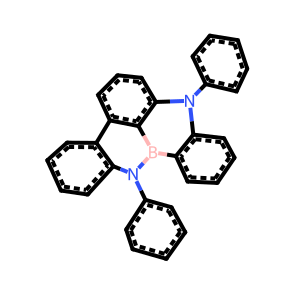 c1ccc(N2B3c4ccccc4N(c4ccccc4)c4cccc(c43)-c3ccccc32)cc1